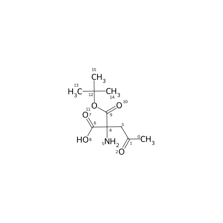 CC(=O)CC(N)(C(=O)O)C(=O)OC(C)(C)C